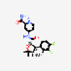 COc1c([C@H]2CC(C)(C)O[C@H]2C(=O)Nc2ccnc(C(N)=O)c2)ccc(F)c1F